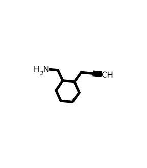 C#CCC1CCCCC1CN